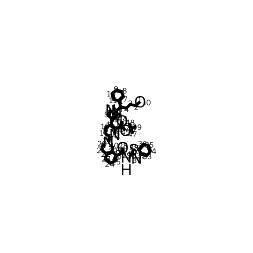 COCCCC(c1ccccc1)n1cc(-c2ccc(N3CCc4cccc(C(=O)Nc5nc6ccccc6s5)c4C3)nc2C(=O)OC(C)(C)C)cn1